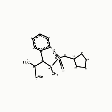 CNC(C)C(c1ccccc1)N(C)S(=O)(=O)CC1CCCC1